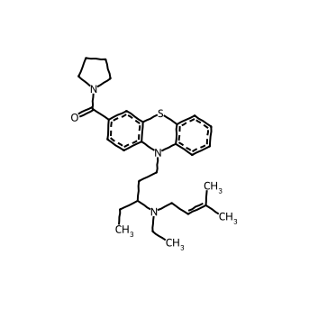 CCC(CCN1c2ccccc2Sc2cc(C(=O)N3CCCC3)ccc21)N(CC)CC=C(C)C